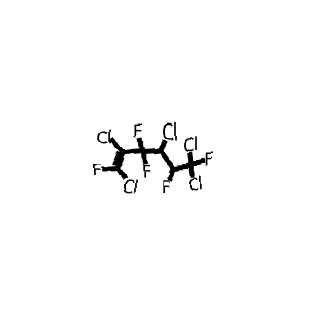 FC(Cl)=C(Cl)C(F)(F)C(Cl)C(F)C(F)(Cl)Cl